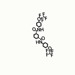 O=C(Nc1ccc(OC(F)(F)C(F)F)cc1)c1cccc(C(=O)Nc2ccc(OC(F)(F)C(F)F)cc2)c1